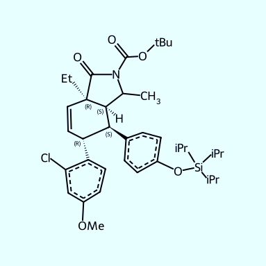 CC[C@@]12C=C[C@@H](c3ccc(OC)cc3Cl)[C@H](c3ccc(O[Si](C(C)C)(C(C)C)C(C)C)cc3)[C@@H]1C(C)N(C(=O)OC(C)(C)C)C2=O